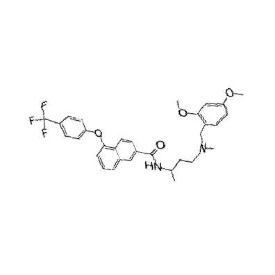 COc1ccc(CN(C)CCC(C)NC(=O)c2ccc3c(Oc4ccc(C(F)(F)F)cc4)cccc3c2)c(OC)c1